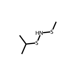 CSNSC(C)C